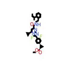 C/C=C(/C)c1ccccc1CCNC(=O)c1cc(C2CC2)n2c(F)c(-c3ccc([C@@H]4C[C@H]4C(=O)OCC)cc3F)nc2n1